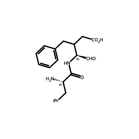 CC(C)C[C@H](N)C(=O)N[C@H]([C]=O)C(CC(=O)O)Cc1ccccc1